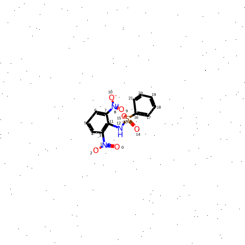 O=[N+]([O-])c1cccc([N+](=O)[O-])c1NS(=O)(=O)c1ccccc1